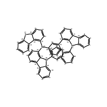 c1ccc(-n2c3ccccc3c3cccc(-c4cccc(N(c5cccc6sc7ccccc7c56)c5cccc6c7ccccc7n(-c7ccccc7)c56)c4)c32)cc1